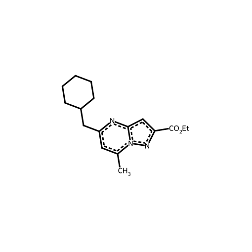 CCOC(=O)c1cc2nc(CC3CCCCC3)cc(C)n2n1